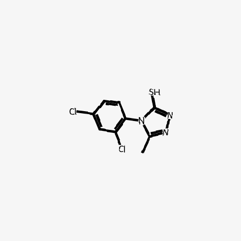 Cc1nnc(S)n1-c1ccc(Cl)cc1Cl